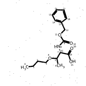 CCCCOC(C)[C@H](NC(=O)OCc1ccccc1)C(=O)O